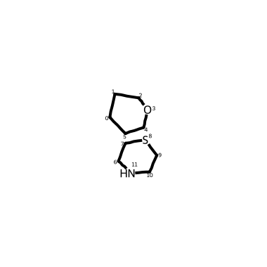 C1CCOCC1.C1CSCCN1